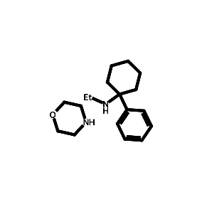 C1COCCN1.CCNC1(c2ccccc2)CCCCC1